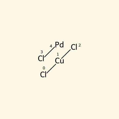 [Cl][Cu][Cl].[Cl][Pd]